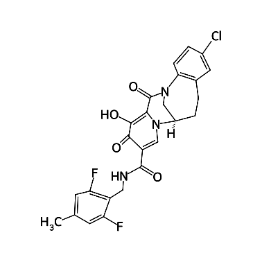 Cc1cc(F)c(CNC(=O)c2cn3c(c(O)c2=O)C(=O)N2C[C@H]3CCc3cc(Cl)ccc32)c(F)c1